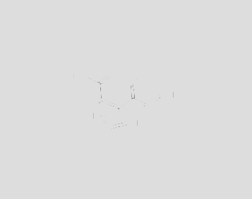 C=CO.COC(=O)/C=C\C(=O)O